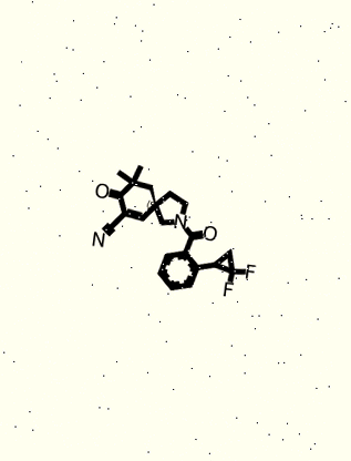 CC1(C)C[C@@]2(C=C(C#N)C1=O)CCN(C(=O)c1ccccc1C1CC1(F)F)C2